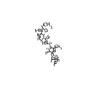 CCC(=O)Nc1cc(C(=O)NCc2cc(F)c(OCC(F)(F)F)nc2C)ccn1